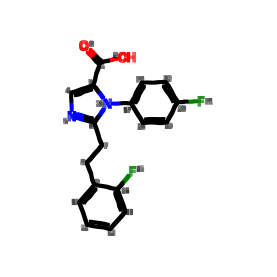 O=C(O)c1cnc(CCc2ccccc2F)n1-c1ccc(F)cc1